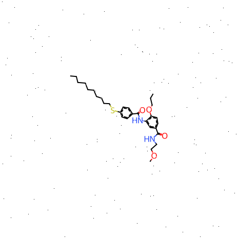 CCCCCCCCCCSc1ccc(C(=O)Nc2cc(C(=O)NCCOC)ccc2OCCC)cc1